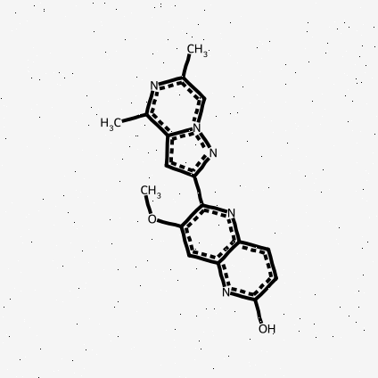 COc1cc2nc(O)ccc2nc1-c1cc2c(C)nc(C)cn2n1